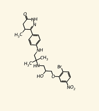 CC1CC(=O)NN=C1c1ccc(NCC(C)(C)NCC(O)COc2cc([N+](=O)[O-])ccc2Br)cc1